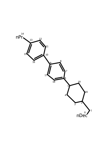 CCCCCCCCCCCC1CCC(c2ccc(-c3ccc(CCC)cc3)cc2)CC1